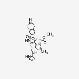 CCOC(=O)O[C@@H]1C[C@H](C)CCN1C(=O)[C@H](CCCNc1ncc[nH]1)NS(=O)(=O)c1ccc2c(c1)CCNCC2